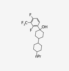 CCCC1CCC(C2CCC(O)(c3ccc(F)c(C(F)(F)F)c3F)CC2)CC1